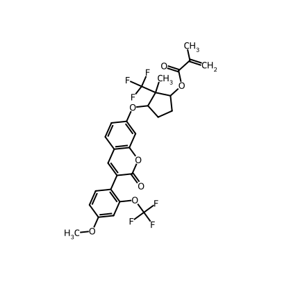 C=C(C)C(=O)OC1CCC(Oc2ccc3cc(-c4ccc(OC)cc4OC(F)(F)F)c(=O)oc3c2)C1(C)C(F)(F)F